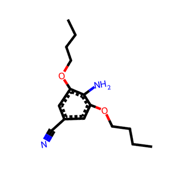 CCCCOc1cc(C#N)cc(OCCCC)c1N